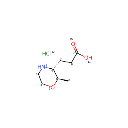 C[C@H]1OCCN[C@@H]1CCC(=O)O.Cl